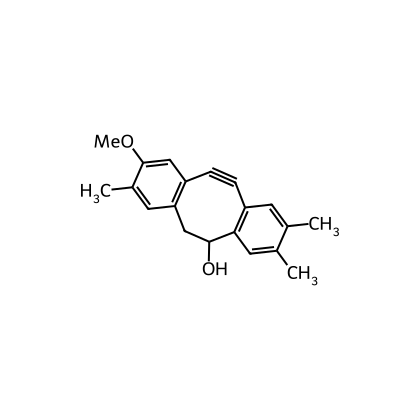 COc1cc2c(cc1C)CC(O)c1cc(C)c(C)cc1C#C2